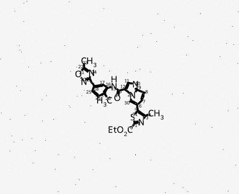 CCOC(=O)c1nc(C)c(-c2ccc3ncc(C(=O)Nc4cc(-c5noc(C)n5)ccc4C)n3c2)s1